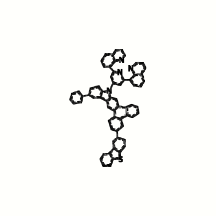 c1ccc(-c2ccc3c(c2)c2cc4c5ccc(-c6ccc7sc8ccccc8c7c6)cc5c5ccccc5c4cc2n3-c2cc(-c3cccc4cccnc34)nc(-c3cccc4cccnc34)c2)cc1